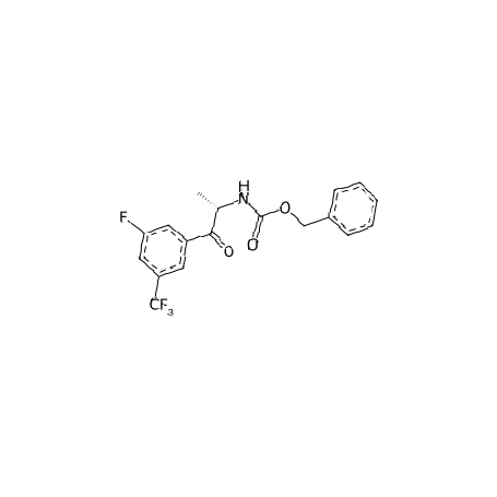 C[C@H](NC(=O)OCc1ccccc1)C(=O)c1cc(F)cc(C(F)(F)F)c1